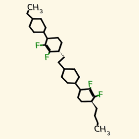 CCCC[C@H]1CCC(C2CCC(CC[C@H]3CCC(C4CCC(CC)CC4)C(F)=C3F)CC2)C(F)=C1F